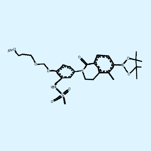 COCCOCOc1ccc(N2CCc3c(ccc(B4OC(C)(C)C(C)(C)O4)c3C)C2=O)cc1NS(C)(=O)=O